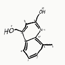 Cc1cccc2c(O)cc(O)nc12